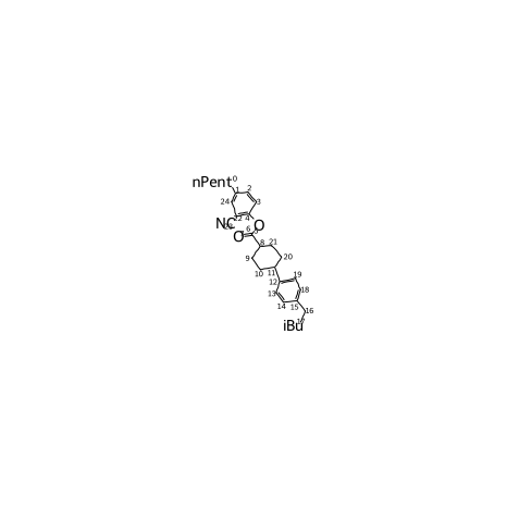 CCCCCc1ccc(OC(=O)C2CCC(c3ccc(CC(C)CC)cc3)CC2)c(C#N)c1